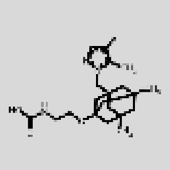 Cc1c(I)cnn1CC12CC3(C)CC(C)(C1)CC(OCCNC(=O)O)(C3)C2